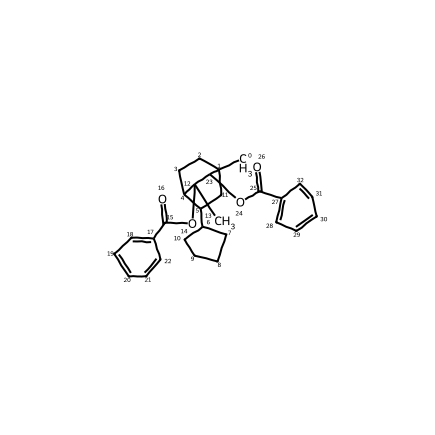 CC12CCC(C(C3CCCC3)C1)C(C)(OC(=O)c1ccccc1)C2OC(=O)c1ccccc1